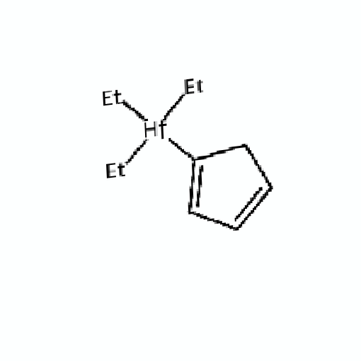 C[CH2][Hf]([CH2]C)([CH2]C)[C]1=CC=CC1